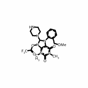 COCc1ccccc1N1c2c(n(C)c(=O)n(C)c2=O)N(OC(=O)C(F)(F)F)C1N1CCNCC1